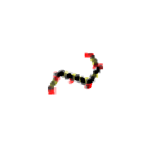 O=C(CCSCCC(=O)SCCSCCSC(=O)CCSCCC(=O)OCSCSCO)OCSCSCO